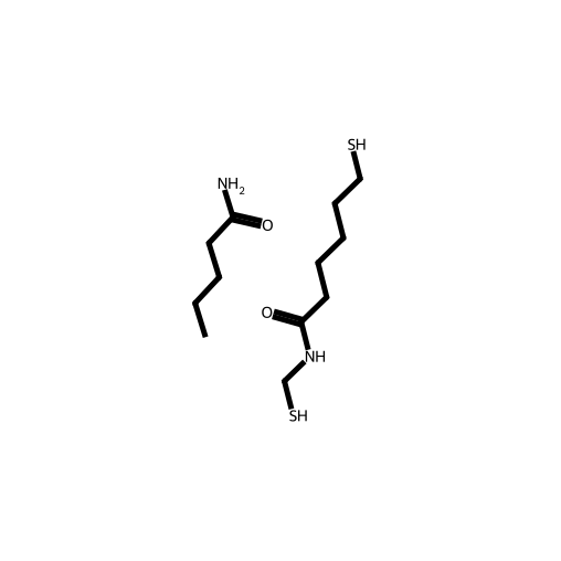 CCCCC(N)=O.O=C(CCCCCS)NCS